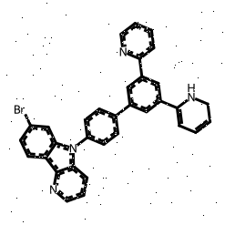 Brc1ccc2c3ncccc3n(-c3ccc(-c4cc(C5=CC=CCN5)cc(-c5ccccn5)c4)cc3)c2c1